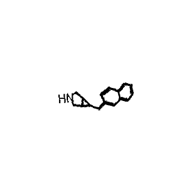 c1ccc2cc(CC3C4CNCC43)ccc2c1